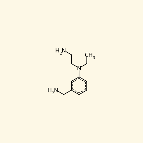 CCN(CCN)c1cccc(CN)c1